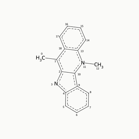 Cc1c2nc3ccccc3c-2n(C)c2ccccc12